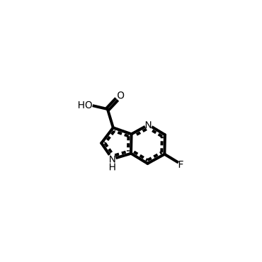 O=C(O)c1c[nH]c2cc(F)cnc12